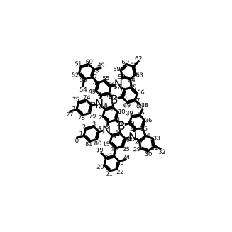 Cc1ccc(N2c3cc4c(cc3B3c5c2cc(-c2c(C)cccc2C)cc5-n2c5ccc(C)cc5c5cc(C)cc3c52)B2c3c(cc(-c5c(C)cccc5C)cc3-n3c5ccc(C)cc5c5cc(C)cc2c53)N4c2ccc(C)cc2)cc1